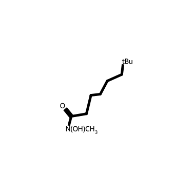 CN(O)C(=O)CCCCCC(C)(C)C